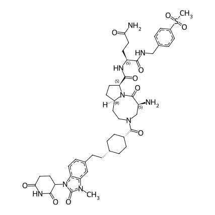 Cn1c(=O)n(C2CCC(=O)NC2=O)c2ccc(CC[C@H]3CC[C@@H](C(=O)N4CC[C@H]5CC[C@@H](C(=O)N[C@@H](CCC(N)=O)C(=O)NCc6ccc(S(C)(=O)=O)cc6)N5C(=O)[C@@H](N)C4)CC3)cc21